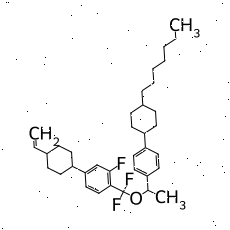 C=CC1CCC(c2ccc(C(F)(F)OC(C)c3ccc(C4CCC(CCCCCCC)CC4)cc3)c(F)c2)CC1